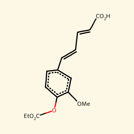 CCOC(=O)Oc1ccc(C=CC=CC(=O)O)cc1OC